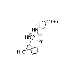 CC(C)c1c(C(=O)NC2CCN(CC(C)(C)C)CC2)n[nH]c1-c1cn(C)c2ncccc12